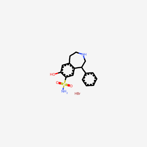 Br.NS(=O)(=O)c1cc2c(cc1O)CCNCC2c1ccccc1